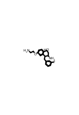 Cl.NCCOc1ccc2c(c1)C(Cc1cccc(F)c1)C(N)CC2